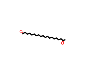 CC(=O)CCCCCCCCCCCCCCCCC[C]=O